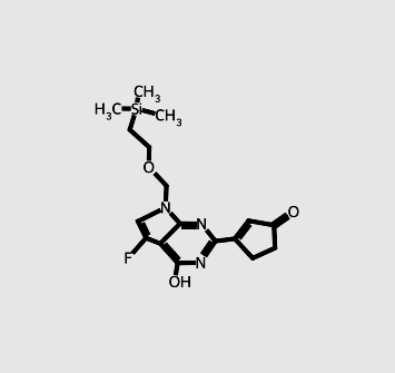 C[Si](C)(C)CCOCn1cc(F)c2c(O)nc(C3=CC(=O)CC3)nc21